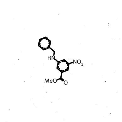 COC(=O)c1cc(NCc2ccccc2)cc([N+](=O)[O-])c1